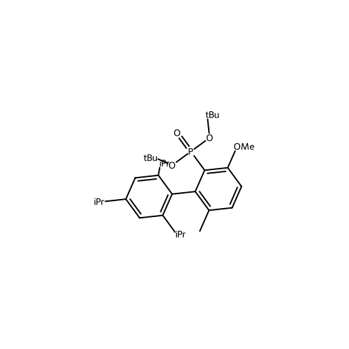 COc1ccc(C)c(-c2c(C(C)C)cc(C(C)C)cc2C(C)C)c1P(=O)(OC(C)(C)C)OC(C)(C)C